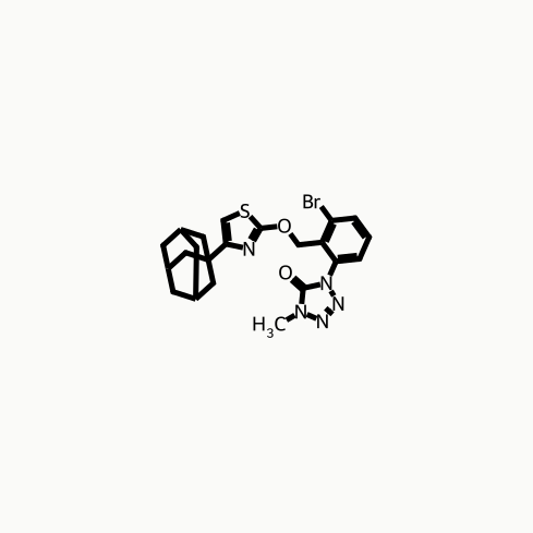 Cn1nnn(-c2cccc(Br)c2COc2nc(C34CC5CC(CC(C5)C3)C4)cs2)c1=O